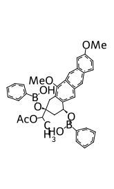 COc1ccc2cc3cc4c(c(OC)c3cc2c1)C[C@@](OB(O)c1ccccc1)(C(C)OC(C)=O)C[C@@H]4OB(O)c1ccccc1